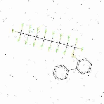 FC(F)(F)C(F)(F)C(F)(F)C(F)(F)C(F)(F)C(F)(F)C(F)(F)C(F)(F)Sc1ccccc1-c1ccccc1